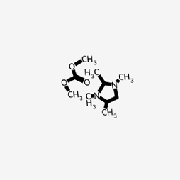 CC1CN(C)C(C)N1C.COC(=O)OC